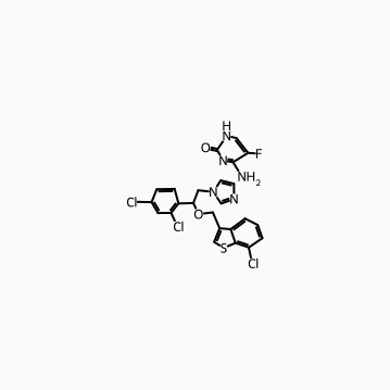 Clc1ccc(C(Cn2ccnc2)OCc2csc3c(Cl)cccc23)c(Cl)c1.Nc1nc(=O)[nH]cc1F